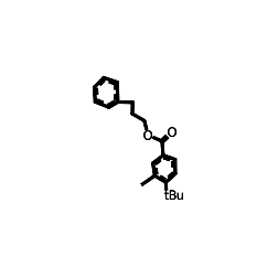 Cc1cc(C(=O)OCCCc2ccccc2)ccc1C(C)(C)C